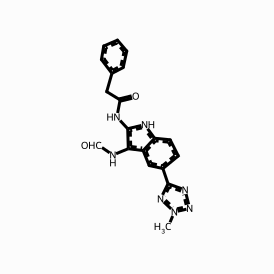 Cn1nnc(-c2ccc3[nH]c(NC(=O)Cc4ccccc4)c(NC=O)c3c2)n1